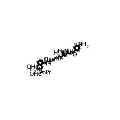 CCCC(C=O)N(C)Cc1c(C=O)cccc1NC(=O)COCCNCCN(N)/C=C(\N)CNC(=O)c1ccc(N)cc1